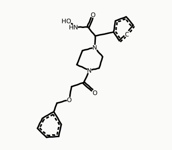 O=C(NO)C(c1ccccc1)N1CCN(C(=O)COCc2ccccc2)CC1